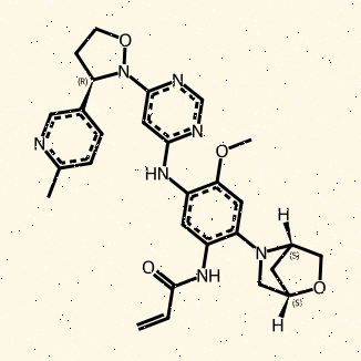 C=CC(=O)Nc1cc(Nc2cc(N3OCC[C@@H]3c3ccc(C)nc3)ncn2)c(OC)cc1N1C[C@@H]2C[C@H]1CO2